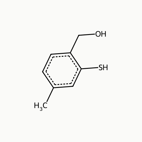 Cc1ccc(CO)c(S)c1